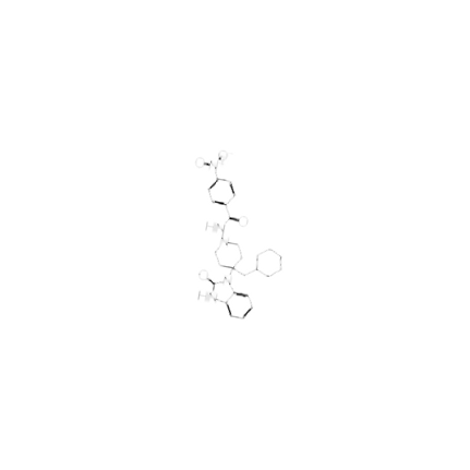 O=C(NN1CCC(CC2CCCCC2)(n2c(=O)[nH]c3ccccc32)CC1)c1ccc([N+](=O)[O-])cc1